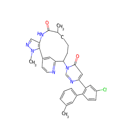 Cc1cccc(-c2ccc(Cl)cc2-c2cc(=O)n(C3CCCC(C)C(=O)Nc4cnn(C)c4-c4ccnc3c4)cn2)c1